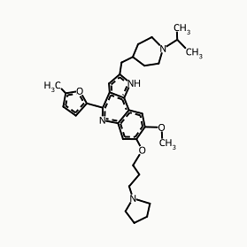 COc1cc2c(cc1OCCCN1CCCC1)nc(-c1ccc(C)o1)c1cc(CC3CCN(C(C)C)CC3)[nH]c12